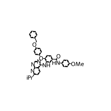 COc1ccc(NC(=O)c2ccc(Oc3ccc(OCc4ccccc4)cc3)c(Nc3ncnc4nc(C(C)C)ccc34)c2)cc1